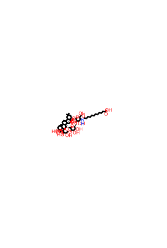 CC1O[C@@H](COC2C(O)[C@@H](NC(=O)CCCCCCCCCCC(=O)O)C(CO)O[C@H]2OC(=O)[C@]23CCC(C)(C)CC2C2=CCC4C5(C)CC[C@H](O)[C@](C)(C=O)[C@@H]5CC[C@]4(C)[C@]2(C)CC3O)C(O)C(O)[C@H]1O[C@@H]1OC[C@@H](O)C(O)C1O